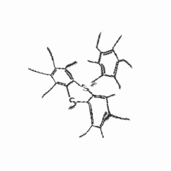 Cc1c(C)c(C)c([S+]2c3c(C)c(C)c(C)c(C)c3Sc3c(C)c(C)c(C)c(C)c32)c(C)c1C